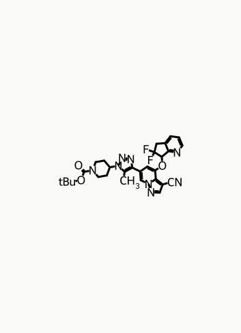 Cc1c(-c2cc(OC3c4ncccc4CC3(F)F)c3c(C#N)cnn3c2)nnn1C1CCN(C(=O)OC(C)(C)C)CC1